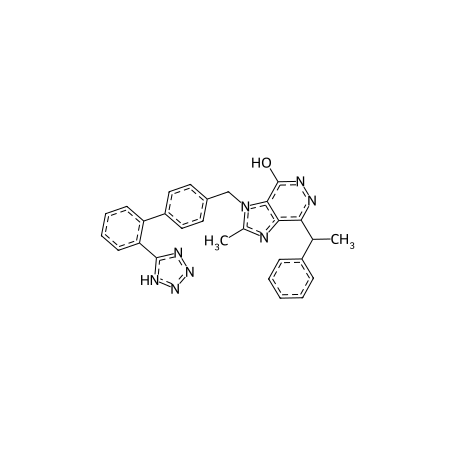 Cc1nc2c(C(C)c3ccccc3)nnc(O)c2n1Cc1ccc(-c2ccccc2-c2nnn[nH]2)cc1